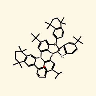 CC(C)c1ccc2c(c1)B1c3oc4ccc(C(C)(C)C)cc4c3N(c3ccc4c(c3)C(C)(C)CCC4(C)C)c3cc(C(C)(C)C)cc(c31)N2c1cc2c(cc1-c1ccccc1)C(C)(C)CCC2(C)C